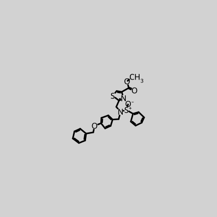 COC(=O)c1csc(CN(Cc2ccc(OCc3ccccc3)cc2)[S+]([O-])c2ccccc2)n1